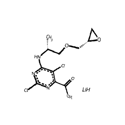 C[C@H](COC[C@@H]1CO1)Nc1nc(Cl)nc(C(=O)O)c1Cl.[LiH]